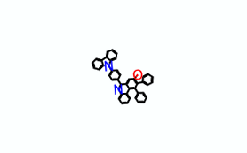 c1ccc(-c2c3c(cc4c(-c5ccc(-n6c7ccccc7c7ccccc76)cc5)nc5ccccc5c24)oc2ccccc23)cc1